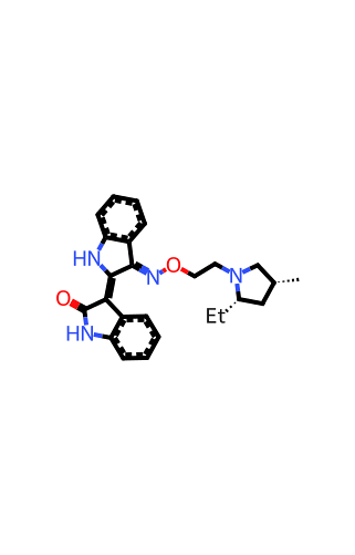 CC[C@H]1C[C@@H](C)CN1CCO/N=C1/C(=C2/C(=O)Nc3ccccc32)Nc2ccccc21